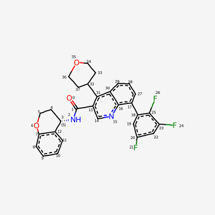 O=C(N[C@H]1CCOc2ccccc21)c1cnc2c(-c3cc(F)cc(F)c3F)cccc2c1C1CCOCC1